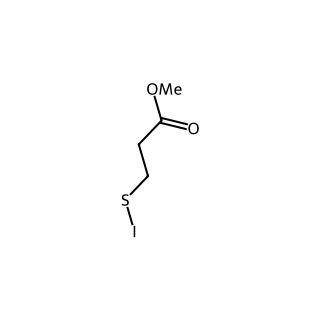 COC(=O)CCSI